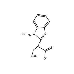 O=C([O-])CC(C([O-])=S)c1nc2ccccc2o1.[Na+].[Na+]